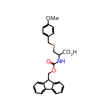 COc1ccc(CSCC(NC(=O)OCC2c3ccccc3-c3ccccc32)C(=O)O)cc1